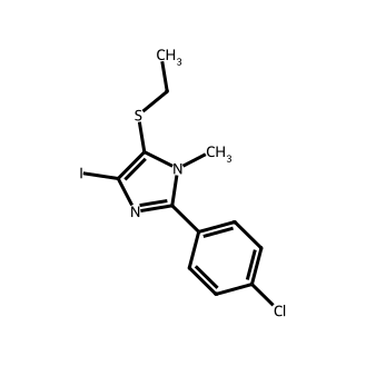 CCSc1c(I)nc(-c2ccc(Cl)cc2)n1C